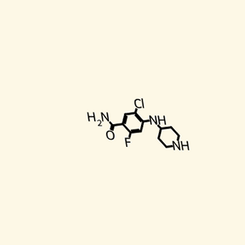 NC(=O)c1cc(Cl)c(NC2CCNCC2)cc1F